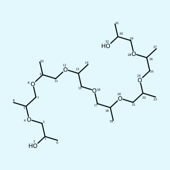 CC(O)COC(C)COC(C)COC(C)COCC(C)OCC(C)OCC(C)OCC(C)O